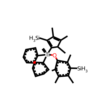 [CH2]=[Ti]([O]c1c(C)c(C)c(C)c([SiH3])c1C)([C]1=C([SiH3])C(C)=C(C)C1C)([c]1ccccc1)[c]1ccccc1